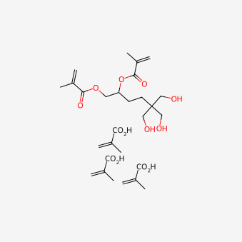 C=C(C)C(=O)O.C=C(C)C(=O)O.C=C(C)C(=O)O.C=C(C)C(=O)OCC(CCC(CO)(CO)CO)OC(=O)C(=C)C